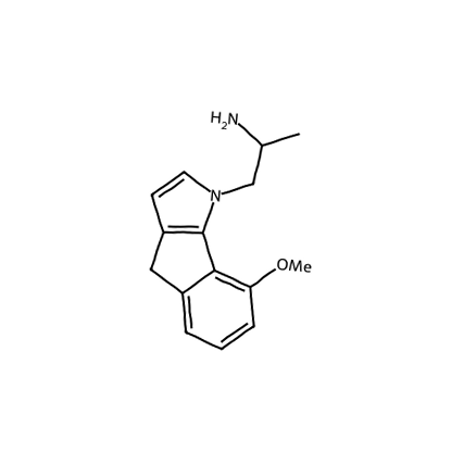 COc1cccc2c1-c1c(ccn1CC(C)N)C2